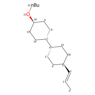 CC=C[C@H]1CC[C@H]([C@H]2CC[C@H](OCCCC)CC2)CC1